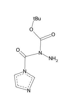 CC(C)(C)OC(=O)N(N)C(=O)n1ccnc1